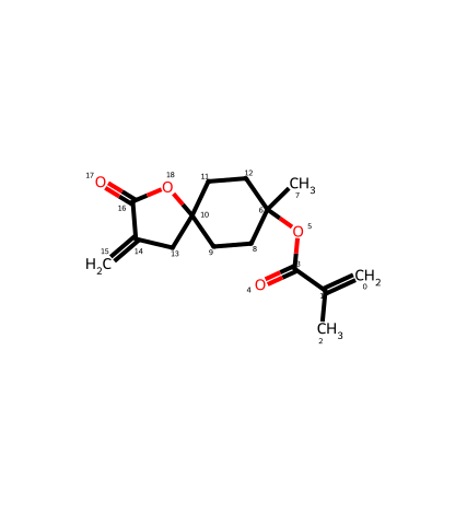 C=C(C)C(=O)OC1(C)CCC2(CC1)CC(=C)C(=O)O2